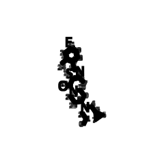 CCCN(CC1CC1)C1CCN(C(=O)c2sc(-c3ccc(F)cc3C)nc2C)CC1